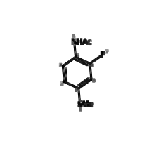 CSc1ccc(NC(C)=O)c(F)c1